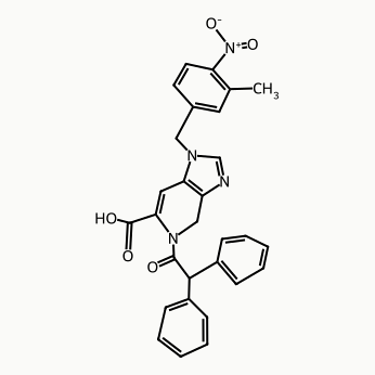 Cc1cc(Cn2cnc3c2C=C(C(=O)O)N(C(=O)C(c2ccccc2)c2ccccc2)C3)ccc1[N+](=O)[O-]